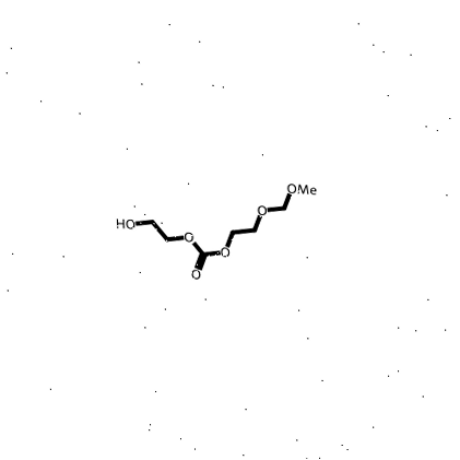 COCOCCOC(=O)OCCO